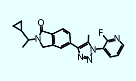 Cc1c(-c2ccc3c(c2)CN(C(C)C2CC2)C3=O)nnn1-c1cccnc1F